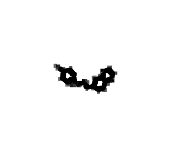 Fc1ccc(NN=Cc2ccc3nccnc3c2)cc1